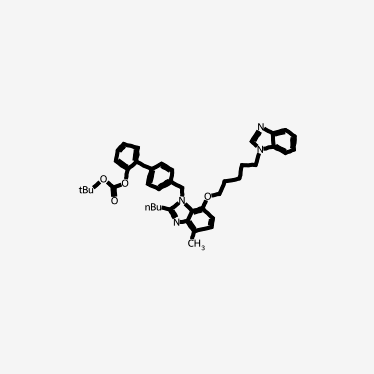 CCCCc1nc2c(C)ccc(OCCCCCn3cnc4ccccc43)c2n1Cc1ccc(-c2ccccc2OC(=O)OC(C)(C)C)cc1